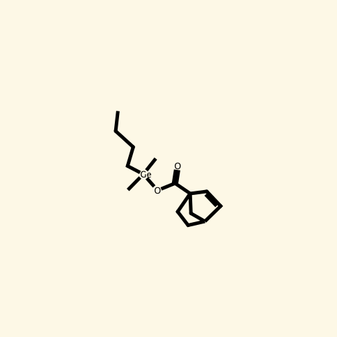 CCC[CH2][Ge]([CH3])([CH3])[O]C(=O)C12C=CC(CC1)C2